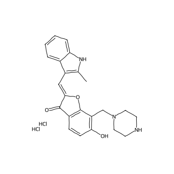 Cc1[nH]c2ccccc2c1/C=C1\Oc2c(ccc(O)c2CN2CCNCC2)C1=O.Cl.Cl